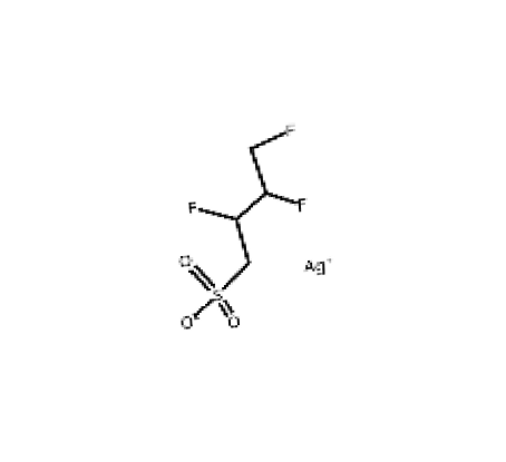 O=S(=O)([O-])CC(F)C(F)CF.[Ag+]